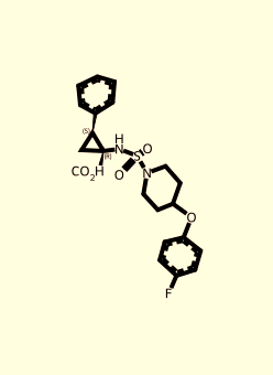 O=C(O)[C@@]1(NS(=O)(=O)N2CCC(Oc3ccc(F)cc3)CC2)C[C@H]1c1ccccc1